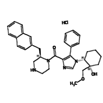 COC[C@]1(O)CCCC[C@H]1n1cnc(C(=O)N2CCNC[C@H]2Cc2ccc3ccccc3c2)c1-c1ccccc1.Cl